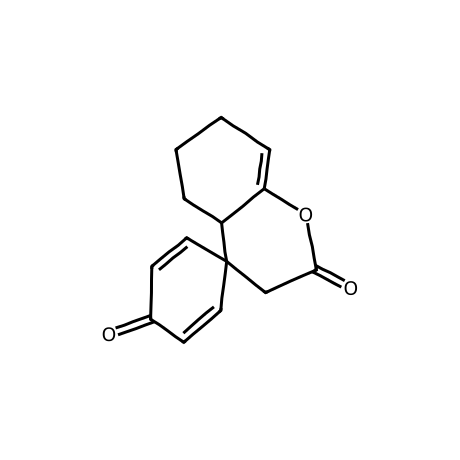 O=C1C=CC2(C=C1)CC(=O)OC1=CCCCC12